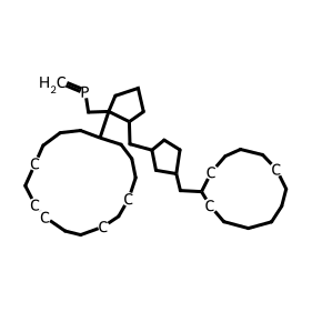 C=PCC1(C2CCCCCCCCCCCCCCC2)CCCC1CC1CCC(CC2CCCCCCCCCCC2)C1